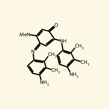 CNC1=CC(=O)C(Nc2ccc(N)c(C)c2C)=CC1=Nc1ccc(N)c(C)c1C